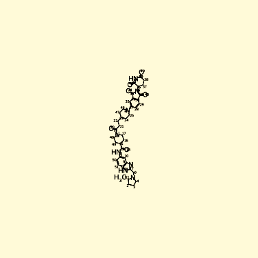 C[C@H]1CCCN1Cc1nc2cc(NC(=O)C3CCN(C(=O)CCC4CCN(c5ccc6c(c5)C(=O)N(C5CCC(=O)NC5=O)C6=O)CC4)CC3)ccc2[nH]1